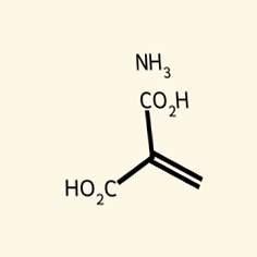 C=C(C(=O)O)C(=O)O.N